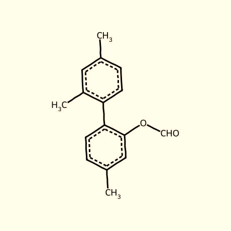 Cc1ccc(-c2ccc(C)cc2OC=O)c(C)c1